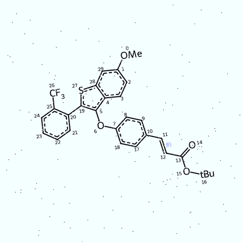 COc1ccc2c(Oc3ccc(/C=C/C(=O)OC(C)(C)C)cc3)c(-c3ccccc3C(F)(F)F)sc2c1